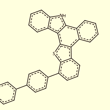 c1ccc(-c2ccc(-c3cccc4c3sc3c4c4ccccc4c4[nH]c5ccccc5c43)cc2)cc1